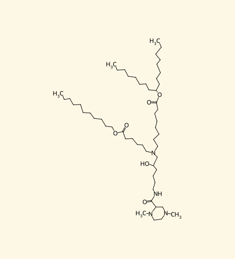 CCCCCCCCCCCOC(=O)CCCCCN(CCCCCCCC(=O)OC(CCCCCCCC)CCCCCCCC)CC(O)CCCCNC(=O)C1CN(C)CCN1C